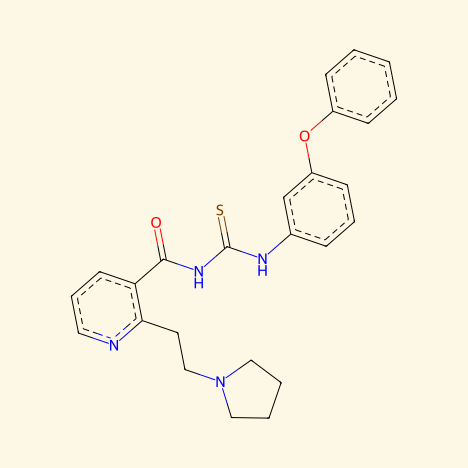 O=C(NC(=S)Nc1cccc(Oc2ccccc2)c1)c1cccnc1CCN1CCCC1